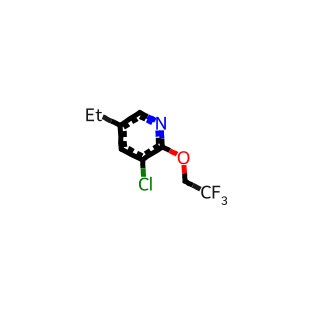 CCc1cnc(OCC(F)(F)F)c(Cl)c1